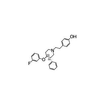 Oc1ccc(CCN2CC[C@H](Oc3cccc(F)c3)[C@@H](c3ccccc3)C2)cc1